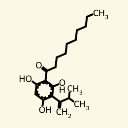 C=C(c1c(O)cc(O)c(C(=O)CCCCCCCCC)c1O)C(C)C